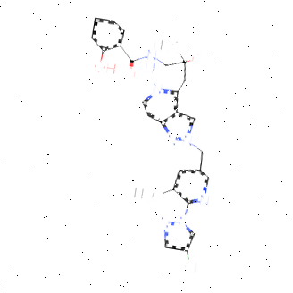 Cc1cc(Cn2cc3c(CC(C)(O)CNC(=O)c4ccccc4O)nccc3n2)cnc1-n1cc(Cl)cn1